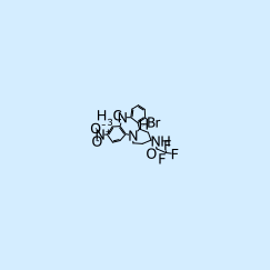 CN1c2cc([N+](=O)[O-])ccc2N2CC[C@@H](NC(=O)C(F)(F)F)C[C@@H]2c2c(Br)cccc21